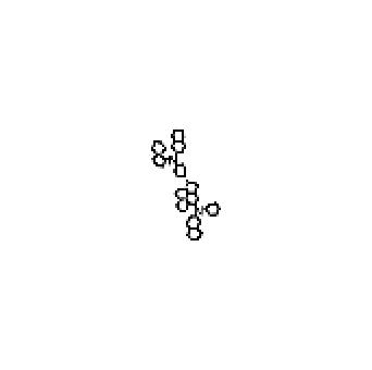 c1ccc(N(c2ccc3ccccc3c2)c2cc3ccc(-c4ccc(N(c5ccc6ccccc6c5)c5cccc6ccccc56)cc4)c4ccc5cccc2c5c34)cc1